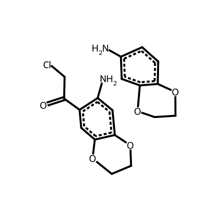 Nc1cc2c(cc1C(=O)CCl)OCCO2.Nc1ccc2c(c1)OCCO2